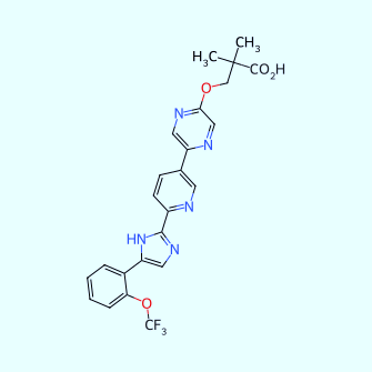 CC(C)(COc1cnc(-c2ccc(-c3ncc(-c4ccccc4OC(F)(F)F)[nH]3)nc2)cn1)C(=O)O